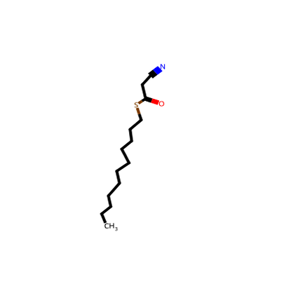 CCCCCCCCCCCSC(=O)CC#N